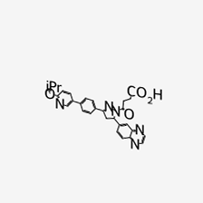 CC(C)Oc1ccc(-c2ccc(C3=NN(C(=O)CCC(=O)O)C(c4ccc5nccnc5c4)C3)cc2)cn1